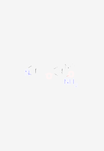 NC(=O)c1cc(OCCc2cccnc2)ccc1[N+](=O)[O-]